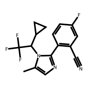 Cc1cnc(-c2ccc(F)cc2C#N)n1C(C1CC1)C(F)(F)F